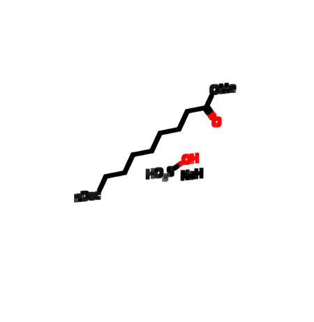 CCCCCCCCCCCCCCCCCC(=O)OC.O=S(=O)(O)O.[NaH]